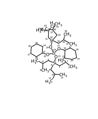 CC(C)C[Si](CC(C)C)(CC(C)C)[O][Zr]([O]C1CCCCC1)([O]C1CCCCC1)[O][Si](CC(C)C)(CC(C)C)CC(C)C